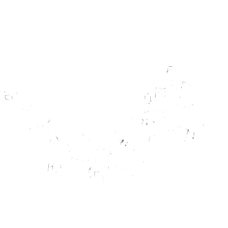 Cc1c(OCCCCBr)ccc(C2CCCC3CN(C(=O)c4cnccc4C(F)(F)F)CCN32)c1C